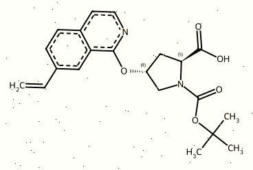 C=Cc1ccc2ccnc(O[C@@H]3C[C@@H](C(=O)O)N(C(=O)OC(C)(C)C)C3)c2c1